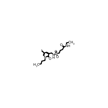 CCCCn1cc(I)cc(CNS(=O)(=O)CCCC(=O)NCC)c1=O